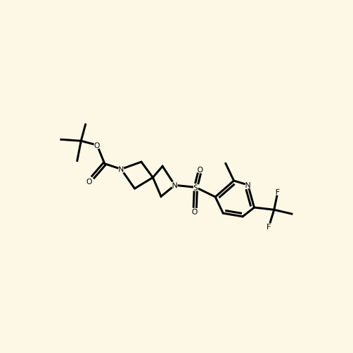 Cc1nc(C(C)(F)F)ccc1S(=O)(=O)N1CC2(CN(C(=O)OC(C)(C)C)C2)C1